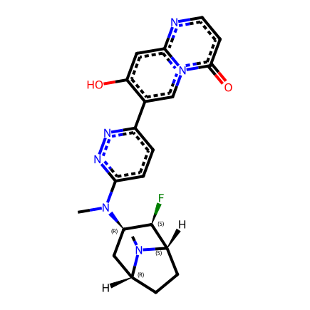 CN(c1ccc(-c2cn3c(=O)ccnc3cc2O)nn1)[C@@H]1C[C@H]2CC[C@@H]([C@@H]1F)N2C